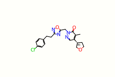 Cc1c([C@H]2CCOC2)cnn(Cc2nc(CCc3ccc(Cl)cc3)no2)c1=O